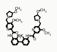 COc1cc(C(=O)Nc2cccc(-c3cccc(NC(=O)c4cc(OC)c(CN5CC[C@@H](OC)C5)cn4)c3C)c2C)ncc1CN1CC[C@@H](OC)C1